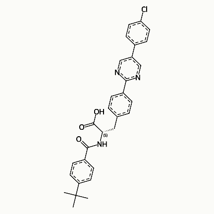 CC(C)(C)c1ccc(C(=O)N[C@@H](Cc2ccc(-c3ncc(-c4ccc(Cl)cc4)cn3)cc2)C(=O)O)cc1